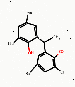 Cc1cc(C(C)(C)C)cc(C(C)c2cc(C(C)(C)C)cc(C(C)(C)C)c2O)c1O